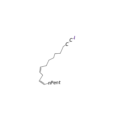 CCCCC/C=C\C/C=C\CCCCCCCCI